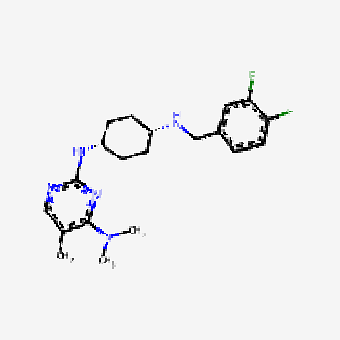 Cc1cnc(N[C@H]2CC[C@@H](NCc3ccc(F)c(F)c3)CC2)nc1N(C)C